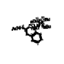 CC(=O)NC(Cc1ccccc1)C(=O)O.CCCC[PH](CCCC)(CCCC)CCCC